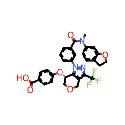 CN(C(=O)c1cccc(-n2nc(C(F)(F)F)c3c2[C@@H](Oc2ccc(C(=O)O)cc2)COC3)c1)c1ccc2c(c1)OCC2